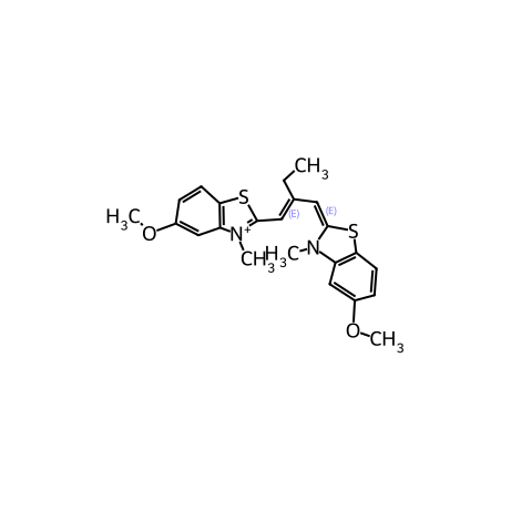 CCC(=C\c1sc2ccc(OC)cc2[n+]1C)/C=C1/Sc2ccc(OC)cc2N1C